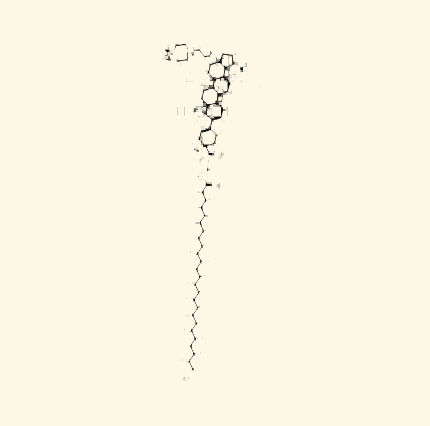 C=C(C)[C@@H]1CC[C@]2(NCCN3CCS(=O)(=O)CC3)CC[C@]3(C)[C@H](CC[C@@H]4[C@@]5(C)CC=C(C6=CC[C@@](CF)(C(=O)OCOC(=O)CCCCCCCCCCCCCCCCCCCCCCCCC)CC6)C(C)(C)[C@@H]5CC[C@]43C)[C@@H]12